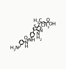 CC(C)(C=CC(=O)O)Cc1cnc(N)c2c(-c3ccc(NC(=O)Nc4cccc(CN)c4)cc3)csc12